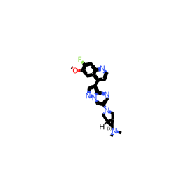 COc1cc2c(-c3cnn4cc(N5CC6[C@@H](C5)[C@H]6N(C)C)cnc34)ccnc2cc1F